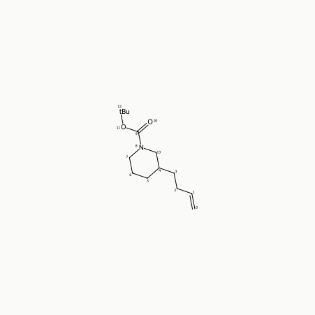 C=CCCC1CCCN(C(=O)OC(C)(C)C)C1